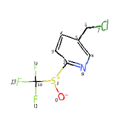 [O-][S+](c1ccc(CCl)cn1)C(F)(F)F